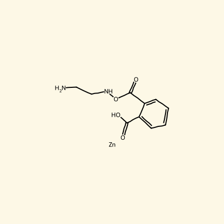 NCCNOC(=O)c1ccccc1C(=O)O.[Zn]